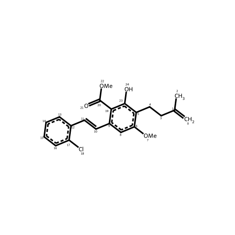 C=C(C)CCc1c(OC)cc(C=Cc2ccccc2Cl)c(C(=O)OC)c1O